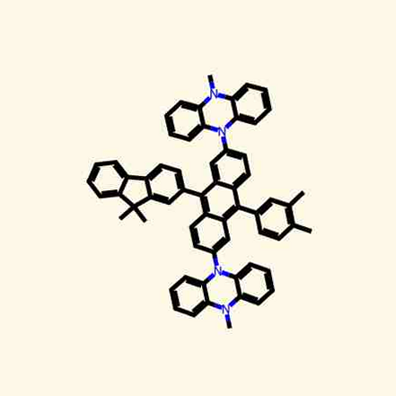 Cc1ccc(-c2c3ccc(N4c5ccccc5N(C)c5ccccc54)cc3c(-c3ccc4c(c3)C(C)(C)c3ccccc3-4)c3ccc(N4c5ccccc5N(C)c5ccccc54)cc23)cc1C